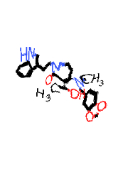 CC(O)[C@@H]1C(=O)N(CCc2c[nH]c3ccccc23)CC[C@@H]1N(C)Cc1ccc2c(c1)OCO2